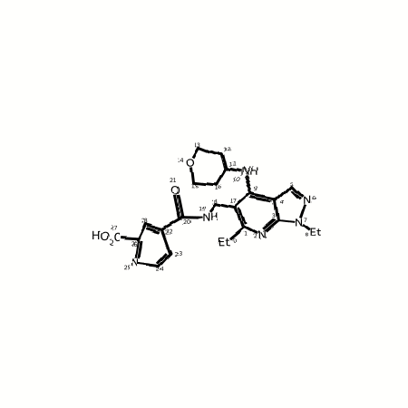 CCc1nc2c(cnn2CC)c(NC2CCOCC2)c1CNC(=O)c1ccnc(C(=O)O)c1